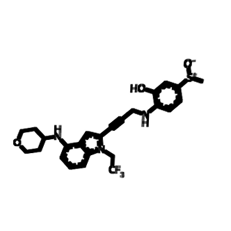 C[S+]([O-])c1ccc(NCC#Cc2cc3c(NC4CCOCC4)cccc3n2CC(F)(F)F)c(O)c1